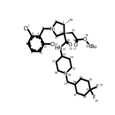 C[C@H]1CN(Cc2c(Cl)cccc2Cl)C[C@@]1(CC(=O)OC(C)(C)C)C(=O)NC1CCN(CC2CCC(F)(F)CC2)CC1